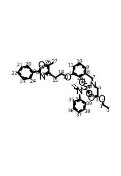 CCOC(=O)CN(Cc1cccc(OCCc2nc(-c3ccccc3)oc2C)c1)S(=O)(=O)N(C)c1ccccc1